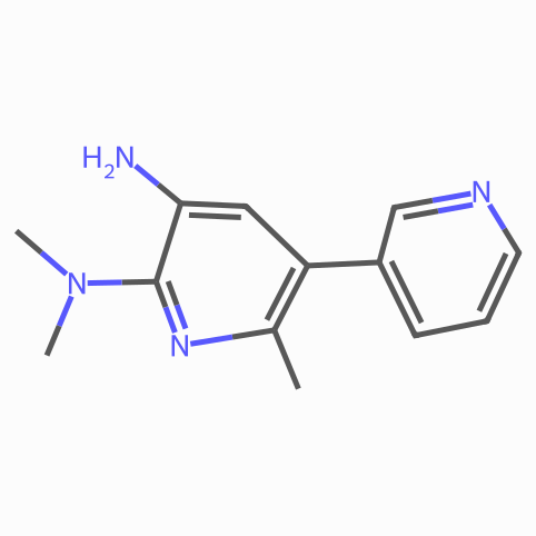 Cc1nc(N(C)C)c(N)cc1-c1cccnc1